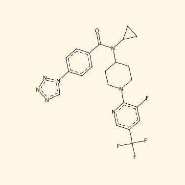 O=C(c1ccc(-n2cnnn2)cc1)N(C1CC1)C1CCN(c2ncc(C(F)(F)F)cc2F)CC1